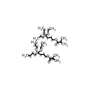 C=C(C)C(=O)OCCC[Si](OCC)(OCC)OCC.C=C(C)C(=O)OCCC[Si](OCCC)(OCCC)OCCC